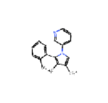 Cc1c(C(=O)O)cn(-c2cccnc2)c1-c1ccccc1C(F)(F)F